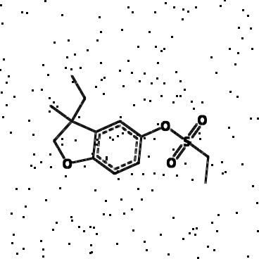 CCC1(C)COc2ccc(OS(=O)(=O)CC)cc21